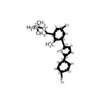 Cc1c(CO[Si](C)(C)C)cc(I)cc1-c1ccc(-c2ccc(F)cc2)s1